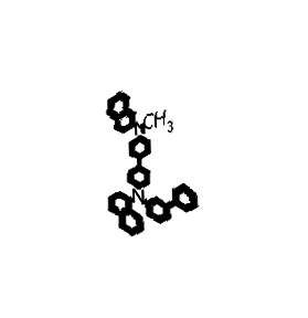 CN(c1ccc(-c2ccc(N(c3cccc(-c4ccccc4)c3)c3cccc4ccccc34)cc2)cc1)c1ccc2ccccc2c1